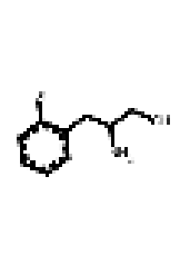 NC(CO)Cc1ccccc1Br